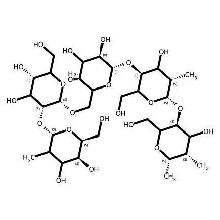 CC1C(O)[C@H](O)[C@H](CO)O[C@H]1O[C@@H]1C(O)[C@H](O)C(CO)O[C@@H]1OCC1O[C@@H](O[C@@H]2C(CO)O[C@@H](O[C@@H]3C(CO)O[C@@H](C)[C@@H](C)C3O)[C@@H](C)C2O)[C@H](O)C(O)[C@@H]1O